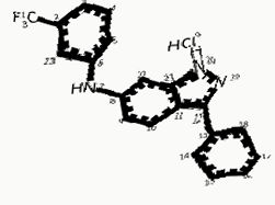 Cl.FC(F)(F)c1cccc(Nc2ccc3c(-c4ccccc4)n[nH]c3c2)c1